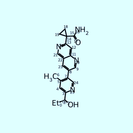 CC[C@H](O)c1cc(C)c(-c2cnc3cc(C4(C(N)=O)CC4)ncc3c2)cn1